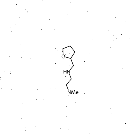 CNCCNCC1CCCO1